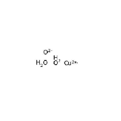 O.O.[Cu+2].[O-2]